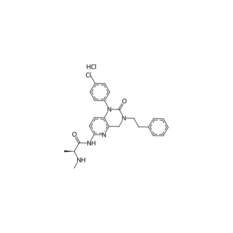 CN[C@@H](C)C(=O)Nc1ccc2c(n1)CN(CCc1ccccc1)C(=O)N2c1ccc(Cl)cc1.Cl